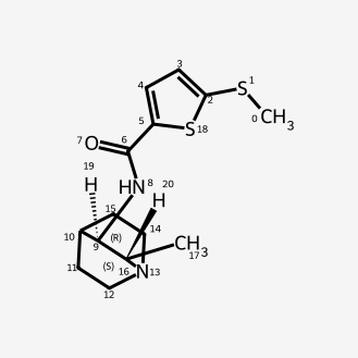 CSc1ccc(C(=O)N[C@@H]2C3CCN(CC3)[C@H]2C)s1